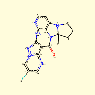 CC12CCCN1c1ccncc1N2C(=O)c1c(N)nn2cc(F)cnc12